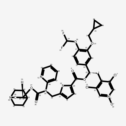 O=C(O[C@@H](Cc1c(Cl)c[n+]([O-])cc1Cl)c1ccc(OC(F)F)c(OCC2CC2)c1)c1ccc(CN(C(=O)O[C@H]2CN3CCC2CC3)c2ccccn2)s1